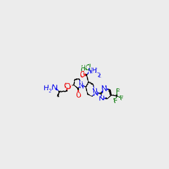 CC(N)CO[C@@H]1CCN(C2CCN(c3ncc(C(F)(F)F)cn3)CC2C(N)=O)C1=O.Cl